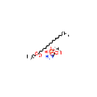 CCCCCCCCCCCCCCCC(=O)OCC.COS(=O)(=O)O.NCCO